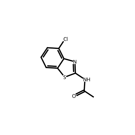 CC(=O)Nc1nc2c(Cl)cccc2s1